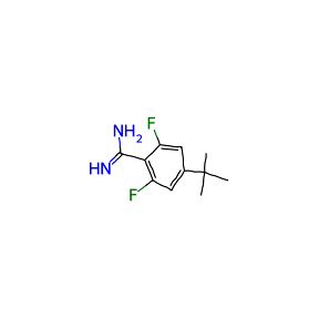 CC(C)(C)c1cc(F)c(C(=N)N)c(F)c1